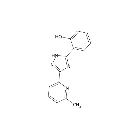 Cc1cccc(-c2n[nH]c(-c3ccccc3O)n2)n1